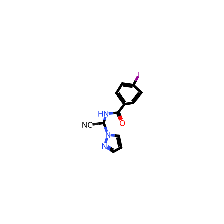 N#CC(NC(=O)c1ccc(I)cc1)n1cccn1